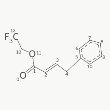 O=C(C=CCc1ccccc1)OCC(F)(F)F